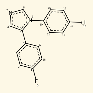 Fc1ccc(-c2cncn2-c2ccc(Cl)cc2)cc1